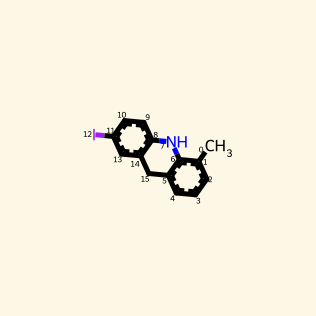 Cc1cccc2c1Nc1ccc(I)cc1C2